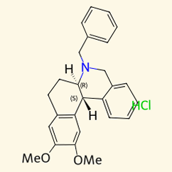 COc1cc2c(cc1OC)[C@H]1c3ccccc3CN(Cc3ccccc3)[C@@H]1CC2.Cl